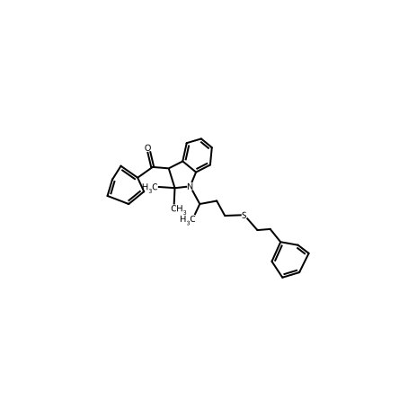 CC(CCSCCc1ccccc1)N1c2ccccc2C(C(=O)c2ccccc2)C1(C)C